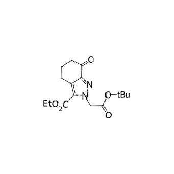 CCOC(=O)c1c2c(nn1CC(=O)OC(C)(C)C)C(=O)CCC2